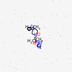 CN(C)[C@@]1(c2ccccc2)CCCC(=O)N(CCC(C)(C)C(=O)Nc2ccncn2)CCC1